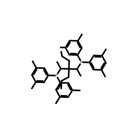 CCCC(CCC)(C(C)P(c1cc(C)cc(C)c1)c1cc(C)cc(C)c1)C(C)P(c1cc(C)cc(C)c1)c1cc(C)cc(C)c1